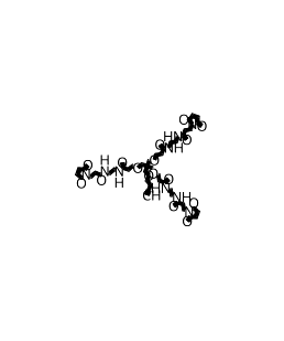 C#CCCOCC(COCCC(=O)NCCNC(=O)CCN1C(=O)C=CC1=O)(COCCC(=O)NCCNC(=O)CCN1C(=O)C=CC1=O)COCCC(=O)NCCNC(=O)CCN1C(=O)C=CC1=O